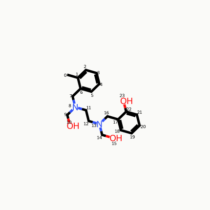 Cc1ccccc1CN(CO)CCN(CO)Cc1ccccc1O